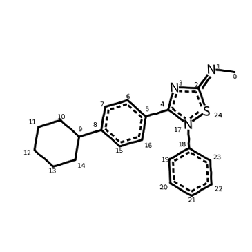 CN=c1nc(-c2ccc(C3CCCCC3)cc2)n(-c2ccccc2)s1